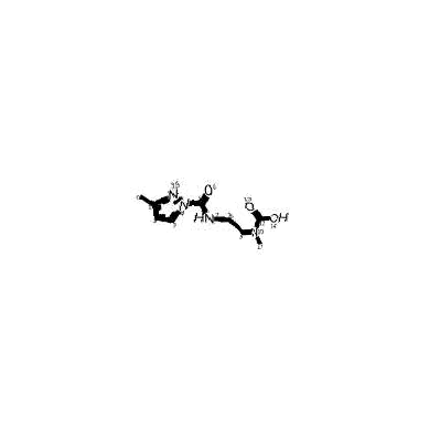 Cc1ccn(C(=O)NCCN(C)C(=O)O)n1